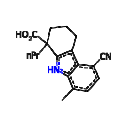 CCCC1(C(=O)O)CCCc2c1[nH]c1c(C)ccc(C#N)c21